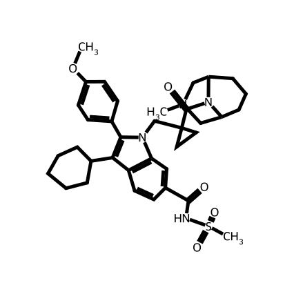 COc1ccc(-c2c(C3CCCCC3)c3ccc(C(=O)NS(C)(=O)=O)cc3n2CC2(C(=O)N3C4CCCC3CN(C)C4)CC2)cc1